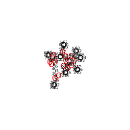 O=C(CCCCC(=O)Oc1c(-c2ccc(OC3OC(C(=O)OCc4ccccc4)C(OCc4ccccc4)C(OCc4ccccc4)C3OCc3ccccc3)c(OCc3ccccc3)c2)oc2ccccc2c1=O)OCc1ccccc1